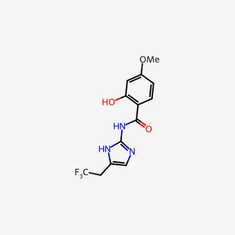 COc1ccc(C(=O)Nc2ncc(CC(F)(F)F)[nH]2)c(O)c1